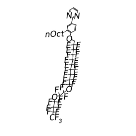 CCCCCCCCc1cc(-c2ncccn2)ccc1OCC(F)(F)C(F)(F)C(F)(F)C(F)(F)C(F)(F)C(F)(F)C(F)(F)C(F)(F)C(F)(F)OC(F)(F)C(F)(F)OC(F)(F)C(F)(F)C(F)(F)C(F)(F)F